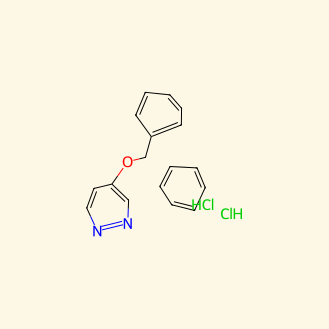 Cl.Cl.c1ccc(COc2ccnnc2)cc1.c1ccccc1